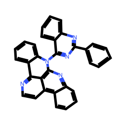 c1ccc(-c2nc(N3c4ccccc4-c4nccc5c4c3nc3ccccc35)c3ccccc3n2)cc1